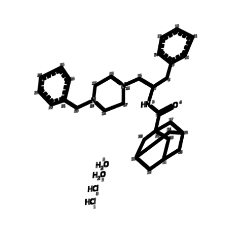 Cl.Cl.O.O.O=C(NC(Cc1ccccc1)CN1CCN(Cc2ccccc2)CC1)C12CC3CC(CC(C3)C1)C2